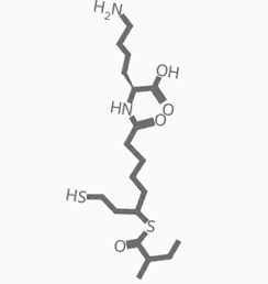 CCC(C)C(=O)SC(CCS)CCCCC(=O)N[C@@H](CCCCN)C(=O)O